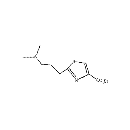 CCOC(=O)c1csc(CCCN(C)C)n1